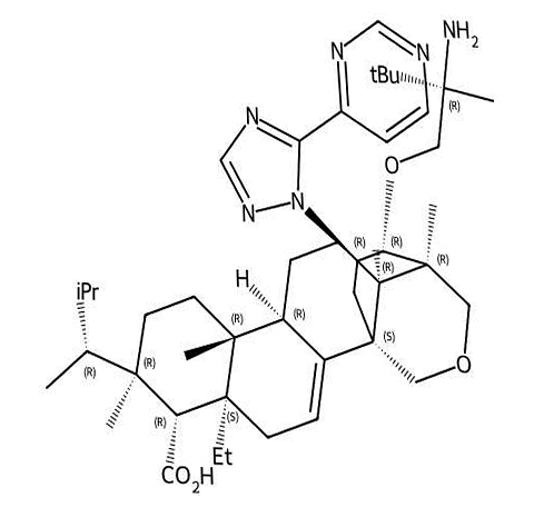 CC[C@@]12CC=C3[C@H](CC[C@]4(C)[C@@]35COC[C@]4(C)[C@@H](OC[C@](C)(N)C(C)(C)C)[C@H](n3ncnc3-c3ccncn3)C5)[C@@]1(C)CC[C@](C)([C@H](C)C(C)C)[C@H]2C(=O)O